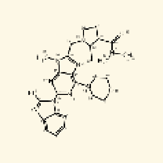 CCc1nc2ccccc2n1-c1nc(N2CCOCC2)c2nc(CN3CCC(C(=O)N(C)C)C3I)n(C)c2n1